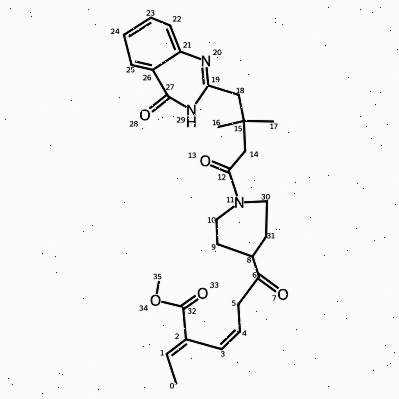 C/C=C(\C=C/CC(=O)C1CCN(C(=O)CC(C)(C)Cc2nc3ccccc3c(=O)[nH]2)CC1)C(=O)OC